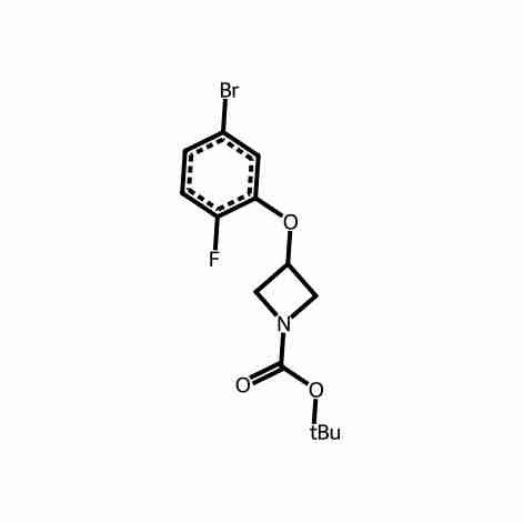 CC(C)(C)OC(=O)N1CC(Oc2cc(Br)ccc2F)C1